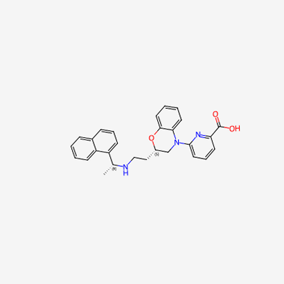 C[C@@H](NCC[C@H]1CN(c2cccc(C(=O)O)n2)c2ccccc2O1)c1cccc2ccccc12